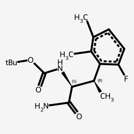 Cc1ccc(F)c([C@@H](C)[C@H](NC(=O)OC(C)(C)C)C(N)=O)c1C